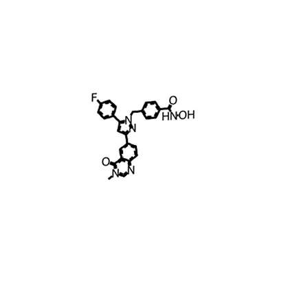 Cn1cnc2ccc(-c3cc(-c4ccc(F)cc4)n(Cc4ccc(C(=O)NO)cc4)n3)cc2c1=O